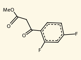 COC(=O)CC(=O)c1ccc(F)cc1F